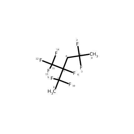 CC(F)(F)CC(F)(C(C)(F)F)C(F)(F)F